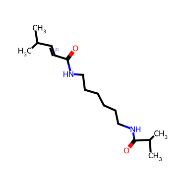 CC(C)/C=C/C(=O)NCCCCCCNC(=O)C(C)C